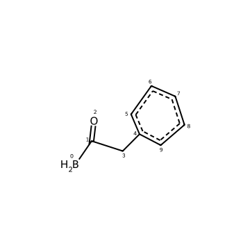 BC(=O)Cc1ccccc1